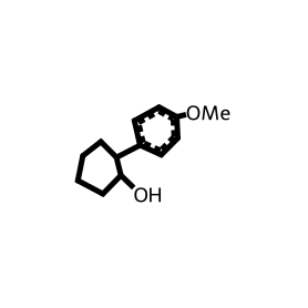 COc1ccc(C2CCCCC2O)cc1